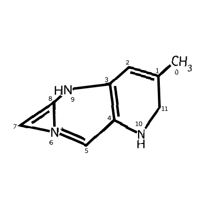 CC1=CC2=C(C=[N+]3C=C3N2)NC1